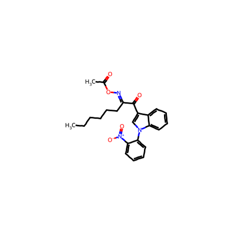 CCCCCC/C(=N\OC(C)=O)C(=O)c1cn(-c2ccccc2[N+](=O)[O-])c2ccccc12